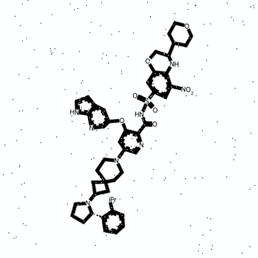 CC(C)c1ccccc1[C@@H]1CCCN1C1CC2(CCN(c3cnc(C(=O)NS(=O)(=O)c4cc5c(c([N+](=O)[O-])c4)NC(C4CCOCC4)CO5)c(Oc4cnc5[nH]ccc5c4)c3)CC2)C1